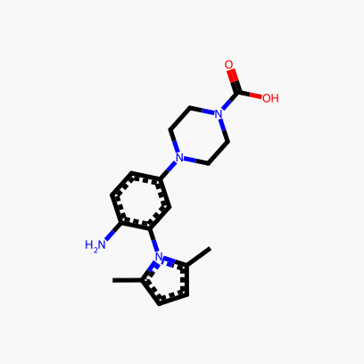 Cc1ccc(C)n1-c1cc(N2CCN(C(=O)O)CC2)ccc1N